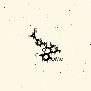 COc1cnc(Cl)cc1-c1cc(C)ncc1C(=O)Nc1nnc([C@@H]2C[C@@H]2F)s1